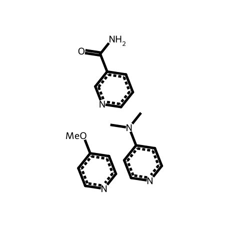 CN(C)c1ccncc1.COc1ccncc1.NC(=O)c1cccnc1